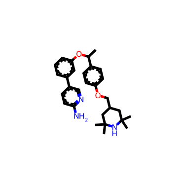 CC(Oc1cccc(-c2ccc(N)nc2)c1)c1ccc(OCC2CC(C)(C)NC(C)(C)C2)cc1